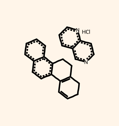 C1=CC2=C(CC1)CCc1c2ccc2ccccc12.Cl.c1cnc2ccncc2c1